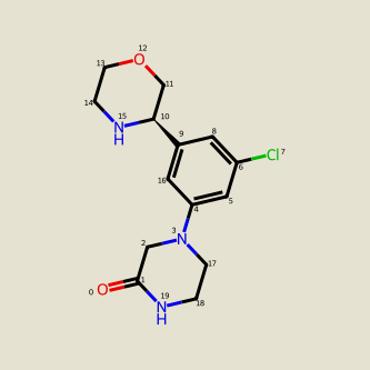 O=C1CN(c2cc(Cl)cc([C@@H]3COCCN3)c2)CCN1